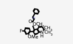 COc1cc(F)ccc1-c1ccc2c(c1COC(=O)/C=C/c1ccccc1)C(C)=CC(C)(C)N2